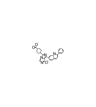 COC(=O)C1CCC(c2nc(-c3ccc4ccc(-c5ccccc5)nc4c3)c3c(Cl)nccn23)CC1